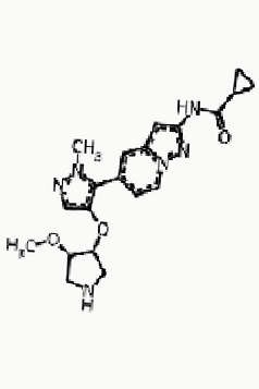 CO[C@@H]1CNC[C@@H]1Oc1cnn(C)c1-c1ccn2nc(NC(=O)C3CC3)cc2c1